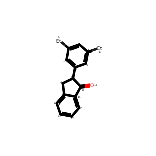 CCc1cc(CC)cc(C2Cc3ccccc3C2=O)c1